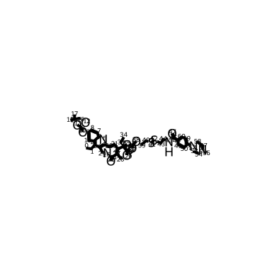 CCc1c2c(nc3ccc(OC(=O)OC(C)(C)C)cc13)-c1cc3c(c(=O)n1C2)COC(=O)[C@@]3(CC)OC(=O)OCCSSCCNC(=O)c1ccc(N2CCN(C)CC2)cc1